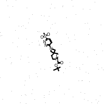 CC(C)(C)OC(=O)N1CCC2(CC1)CN(c1ccc(S(C)(=O)=O)nn1)C2